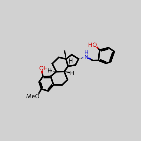 COc1cc(O)c2c(c1)CC[C@@H]1[C@@H]2CC[C@]2(C)C[C@H](NCc3ccccc3O)C[C@@H]12